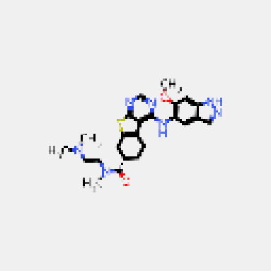 COc1cc2[nH]ncc2cc1Nc1ncnc2sc3c(c12)CC[C@H](C(=O)N(C)CCN(C)C)C3